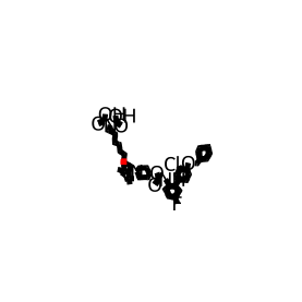 CC(C)(C)C(CCCCCCCCN(C(=O)O)C(=O)O)(N1CCC(OC(=O)Nc2ccc(F)cc2-c2ccc(OCc3ccccc3)c(Cl)c2)CC1)C(C)(C)C